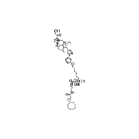 C[C@]12C[C@H](O)[C@H]3[C@@H](CCC4=Cc5c(cnn5-c5cccc(OCCCCCCP(=O)(O)OP(=O)(O)OCCNC(=O)COC6CCCCCCC6)c5)C[C@@]43C)[C@@H]1CC[C@@H]2C(=O)CO